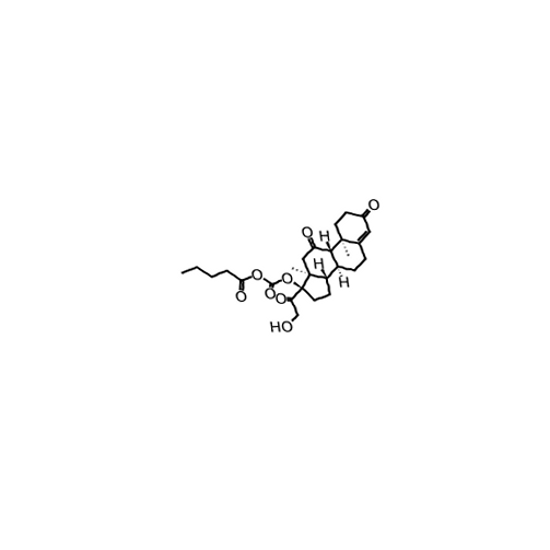 CCCCC(=O)OC(=O)O[C@]1(C(=O)CO)CC[C@H]2[C@@H]3CCC4=CC(=O)CC[C@]4(C)[C@H]3C(=O)C[C@@]21C